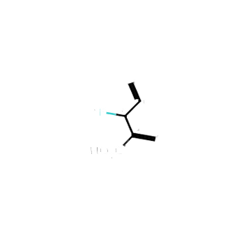 C=CC(F)C(=C)C(=O)O